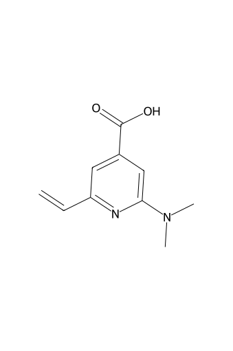 C=Cc1cc(C(=O)O)cc(N(C)C)n1